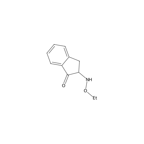 CCONC1Cc2ccccc2C1=O